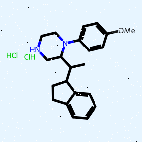 COc1ccc(N2CCNCC2C(C)C2CCc3ccccc32)cc1.Cl.Cl